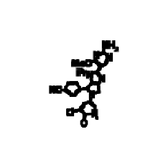 COc1nc(N)ncc1-c1nc2c(n1C(C)C)C(c1ccc(C#N)cc1)N(c1cc(Cl)c(=O)n(C)c1)C2